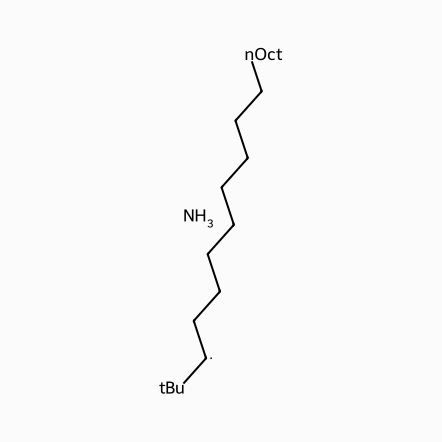 CCCCCCCCCCCCCCCC[CH]C(C)(C)C.N